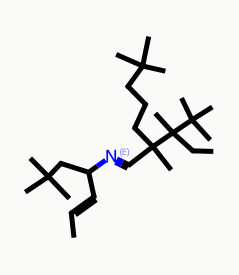 CC=CC(CC(C)(C)C)/N=C/C(C)(CCCC(C)(C)C)C(C)(CC)C(C)(C)C